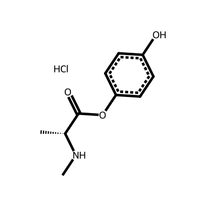 CN[C@H](C)C(=O)Oc1ccc(O)cc1.Cl